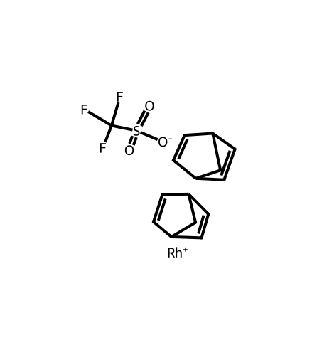 C1=CC2C=CC1C2.C1=CC2C=CC1C2.O=S(=O)([O-])C(F)(F)F.[Rh+]